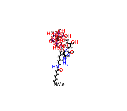 CNCCCCCC(=O)NCCCCCCOP(=O)(O)OP(=O)(O)OP(=O)(O)OP(=O)(O)OP(=O)(O)OP(=O)(O)OC[C@H]1O[C@@H](n2ccc(N)nc2=O)C[C@H]1O